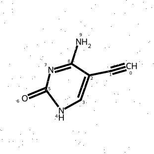 C#Cc1c[nH]c(=O)nc1N